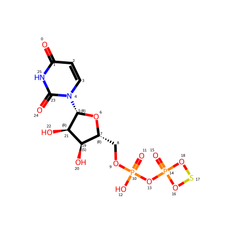 O=c1ccn([C@@H]2O[C@H](COP(=O)(O)OP3(=O)OSO3)[C@@H](O)[C@H]2O)c(=O)[nH]1